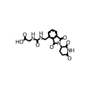 O=C(O)CNC(=O)NCc1cccc2c1C(=O)N(C1CCC(=O)NC1=O)C2=O